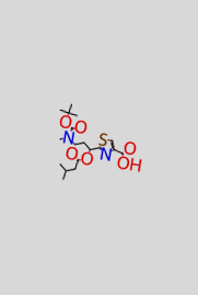 CC(C)CC(=O)OC(CCN(C)C(=O)OC(C)(C)C)c1nc(C(=O)O)cs1